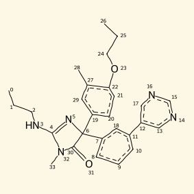 CCCNC1=NC(c2cccc(-c3cncnc3)c2)(c2ccc(OCCC)c(C)c2)C(=O)N1C